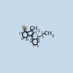 CCCCc1ccccc1C1=CC(C)c2c(Br)cccc21